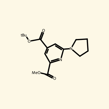 COC(=O)c1cc(C(=O)OC(C)(C)C)cc(N2CCCC2)n1